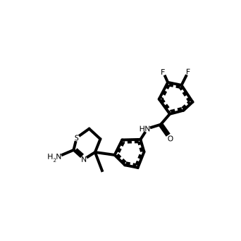 CC1(c2cccc(NC(=O)c3ccc(F)c(F)c3)c2)CCSC(N)=N1